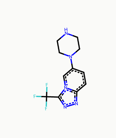 FC(F)(F)c1nnc2ccc(N3CCNCC3)cn12